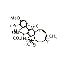 CCCc1c(OC)ccc(-c2c(C)c3c(c(C)c2[C@H](OC(C)(C)C)C(=O)O)N(S(C)(=O)=O)CC/C(F)=C(C)\C=C/[C@H]3C)c1C